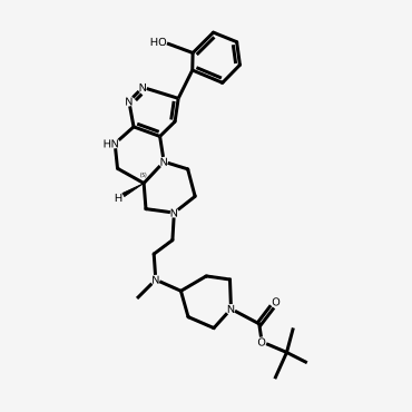 CN(CCN1CCN2c3cc(-c4ccccc4O)nnc3NC[C@H]2C1)C1CCN(C(=O)OC(C)(C)C)CC1